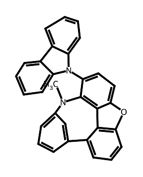 CN1c2cccc(c2)-c2cccc3oc4ccc(-n5c6ccccc6c6ccccc65)c1c4c23